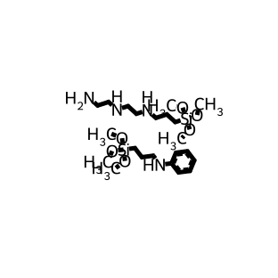 CO[Si](CCCNCCNCCN)(OC)OC.CO[Si](CCCNc1ccccc1)(OC)OC